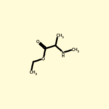 CCOC(=O)[C](C)NC